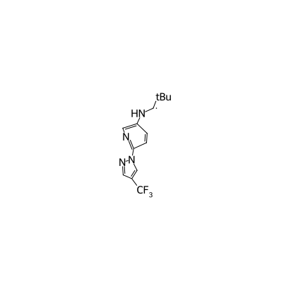 CC(C)(C)[CH]Nc1ccc(-n2cc(C(F)(F)F)cn2)nc1